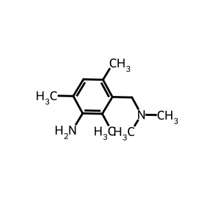 Cc1cc(C)c(CN(C)C)c(C)c1N